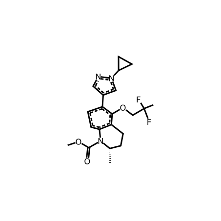 COC(=O)N1c2ccc(-c3cnn(C4CC4)c3)c(OCC(C)(F)F)c2CC[C@@H]1C